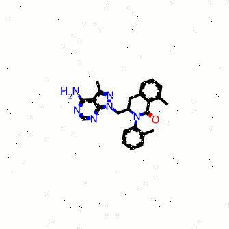 Cc1ccccc1N1C(=O)c2c(C)cccc2CC1Cn1nc(C)c2c(N)ncnc21